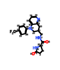 O=C1CC[C@H](C(=O)NCC2Cc3ncccc3N(c3ccc(C(F)(F)F)cc3)C2)N1